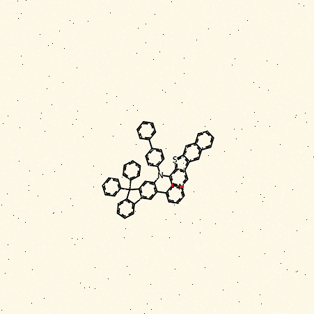 c1ccc(-c2ccc(N(c3cc4c(cc3-c3ccccc3)-c3ccccc3C4(c3ccccc3)c3ccccc3)c3cncc4c3sc3cc5ccccc5cc34)cc2)cc1